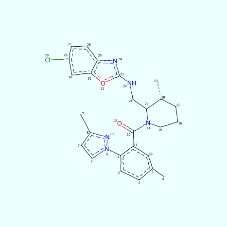 Cc1ccc(-n2ccc(C)n2)c(C(=O)N2CCC[C@@H](C)C2CNc2nc3ccc(Cl)cc3o2)c1